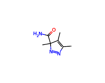 CC1=C(C)C(C)(C(N)=O)N=N1